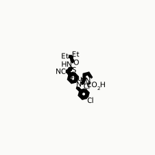 CCC(CC)C(=O)Nc1sc2c(c1C#N)CCC(N(Cc1ccc(Cl)cc1Cl)C[C@@]1(C(C)(C)C)CCCN1C(=O)O)C2